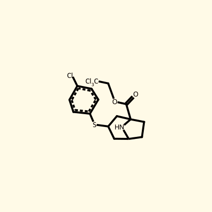 O=C(OCC(Cl)(Cl)Cl)C12CCC(CC(Sc3ccc(Cl)cc3)C1)N2